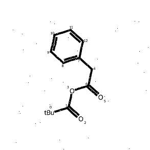 CC(C)(C)C(=O)OC(=O)Cc1ccccc1